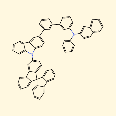 c1ccc(N(c2cccc(-c3cccc(-c4ccc5c(c4)c4ccccc4n5-c4ccc5c(c4)-c4ccccc4C54c5ccccc5-c5ccccc54)c3)c2)c2ccc3ccccc3c2)cc1